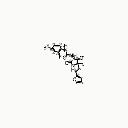 CC1(CCc2ccco2)NC(=O)N(NC(=O)Nc2ccc(Br)cc2F)C1=O